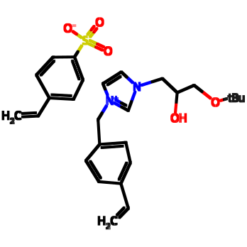 C=Cc1ccc(C[n+]2ccn(CC(O)COC(C)(C)C)c2)cc1.C=Cc1ccc(S(=O)(=O)[O-])cc1